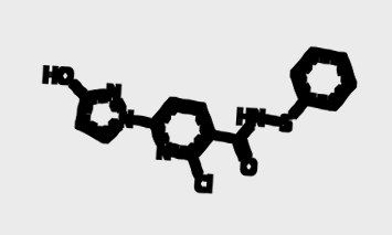 O=C(NSc1ccccc1)c1ccc(-n2ccc(O)n2)nc1Cl